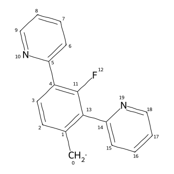 [CH2]c1ccc(-c2ccccn2)c(F)c1-c1ccccn1